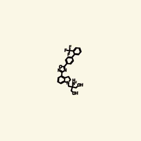 NC(CO)(CO)CN1CCc2c(-c3noc(-c4ccc(-c5ccccc5C(F)(F)F)cc4)n3)cccc21